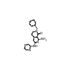 Nc1nc(Nc2cnccn2)cc2ccn(Cc3ccccc3)c(=O)c12